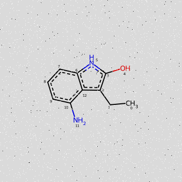 CCc1c(O)[nH]c2cccc(N)c12